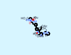 CCn1c(-c2cc(N3CCN4CCCC[C@@H]4C3)cnc2C(C)OC)c(CC(C)(C)COC(C)=O)c2cc(-c3cccc(CC(NC(=O)OC(C)(C)C)C(=O)N4CCC[C@@H](C(=O)O)N4)c3)ccc21